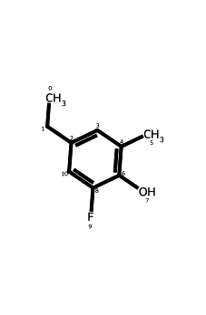 CCc1cc(C)c(O)c(F)c1